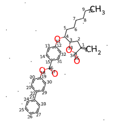 C=C1CC(C(CCCCCC)Oc2ccc(C(=O)Oc3ccc(-c4ccccc4)cc3)cc2)OC1=O